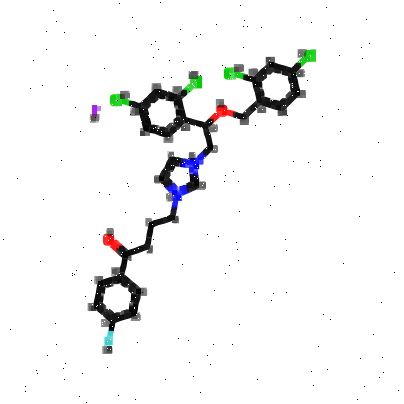 O=C(CCCn1cc[n+](CC(OCc2ccc(Cl)cc2Cl)c2ccc(Cl)cc2Cl)c1)c1ccc(F)cc1.[I-]